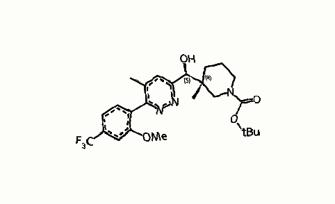 COc1cc(C(F)(F)F)ccc1-c1nnc([C@@H](O)[C@]2(C)CCCN(C(=O)OC(C)(C)C)C2)cc1C